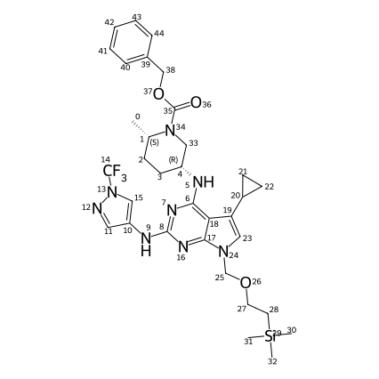 C[C@H]1CC[C@@H](Nc2nc(Nc3cnn(C(F)(F)F)c3)nc3c2c(C2CC2)cn3COCC[Si](C)(C)C)CN1C(=O)OCc1ccccc1